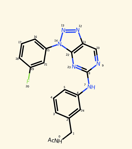 CC(=O)NCc1cccc(Nc2ncc3nnn(-c4cccc(F)c4)c3n2)c1